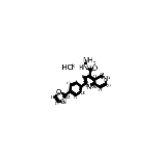 Cl.NNC(=O)c1cc(-c2ccc(-c3ncco3)cc2)nc2ccncc12